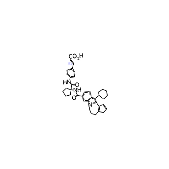 O=C(O)/C=C/c1ccc(NC(=O)C2(NC(=O)c3ccc4c(C5CCCCC5)c5n(c4c3)CCCC3=C5C=CC3)CCCC2)cc1